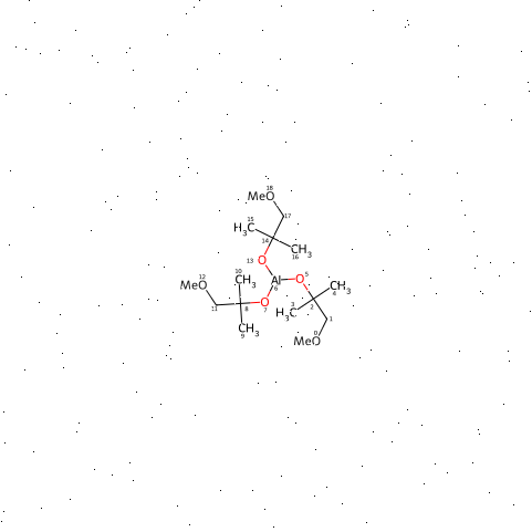 COCC(C)(C)[O][Al]([O]C(C)(C)COC)[O]C(C)(C)COC